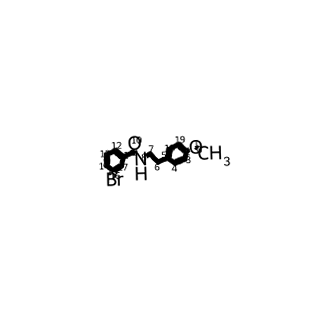 COc1ccc(CCNC(=O)c2cccc(Br)c2)cc1